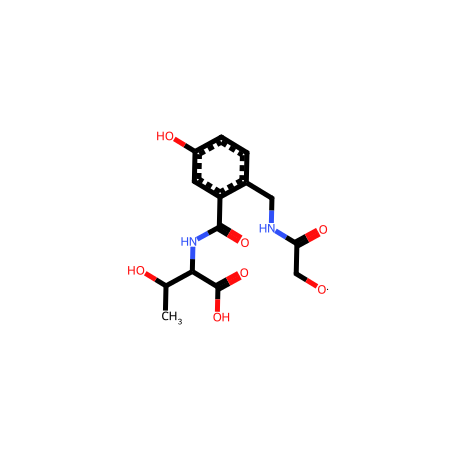 CC(O)C(NC(=O)c1cc(O)ccc1CNC(=O)C[O])C(=O)O